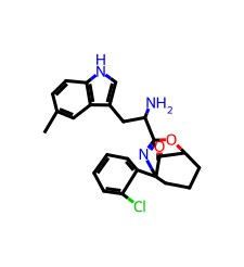 Cc1ccc2[nH]cc(CC(N)C3=NC4(c5ccccc5Cl)CCCC(O3)C4=O)c2c1